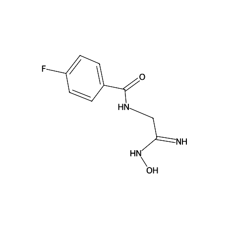 N=C(CNC(=O)c1ccc(F)cc1)NO